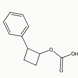 O=C(O)OC1CCC1c1ccccc1